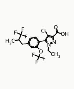 CCn1nc(C(=O)O)c(Cl)c1-c1ccc(CC(C)C(F)(F)F)cc1OC(F)(F)F